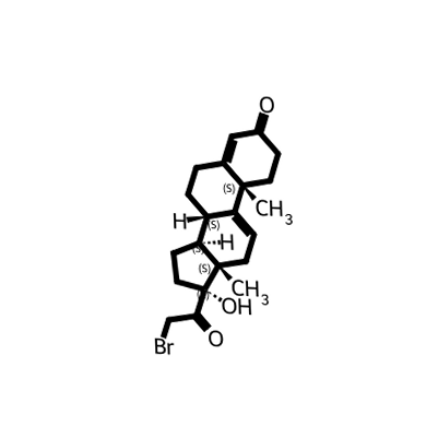 C[C@]12CCC(=O)C=C1CC[C@@H]1C2=CC[C@@]2(C)[C@H]1CC[C@]2(O)C(=O)CBr